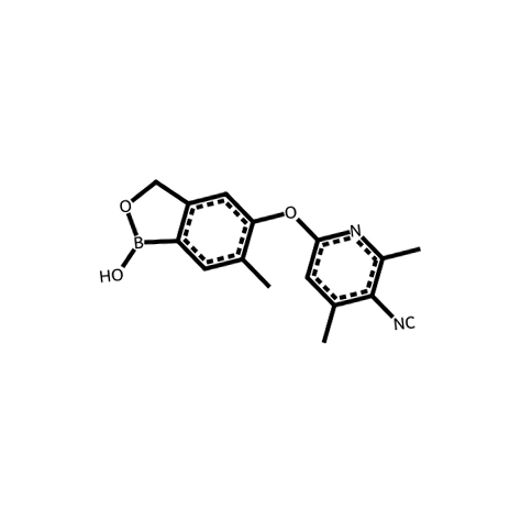 [C-]#[N+]c1c(C)cc(Oc2cc3c(cc2C)B(O)OC3)nc1C